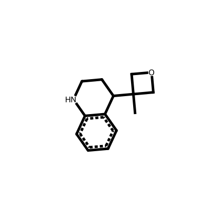 CC1(C2CCNc3ccccc32)COC1